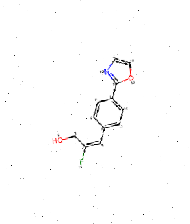 OC/C(F)=C\c1ccc(-c2ncco2)cc1